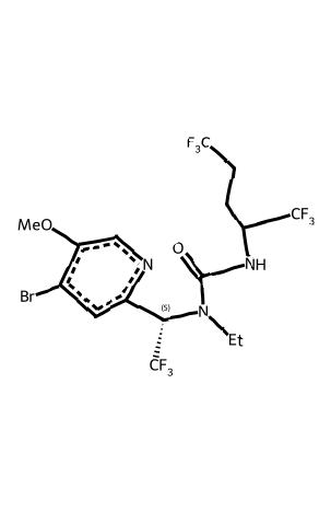 CCN(C(=O)NC(CCC(F)(F)F)C(F)(F)F)[C@@H](c1cc(Br)c(OC)cn1)C(F)(F)F